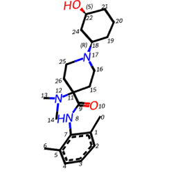 Cc1cccc(C)c1NC(=O)C1(N(C)C)CCN([C@@H]2CCC[C@H](O)C2)CC1